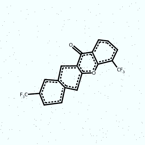 O=c1c2cc3cc(C(F)(F)F)ccc3cc2oc2c(C(F)(F)F)cccc12